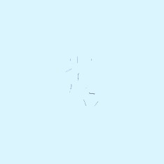 O=CC1=CCC2=CCc3ccccc3SC2=C1